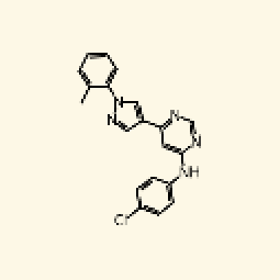 Cc1ccccc1-n1cc(-c2cc(Nc3ccc(Cl)cc3)ncn2)cn1